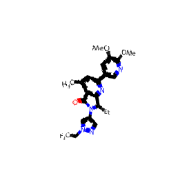 CCC1c2nc(-c3cnc(OC)c(OC)c3)cc(C)c2C(=O)N1c1cnn(CC(F)(F)F)c1